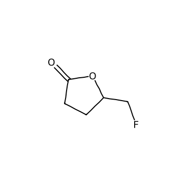 O=C1CCC(CF)O1